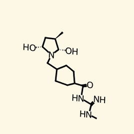 CNC(=N)NC(=O)C1CCC(CN2[C@H](O)C[C@@H](C)[C@@H]2O)CC1